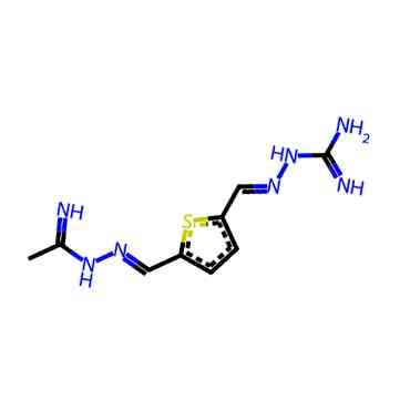 CC(=N)N/N=C/c1ccc(/C=N/NC(=N)N)s1